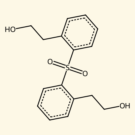 O=S(=O)(c1ccccc1CCO)c1ccccc1CCO